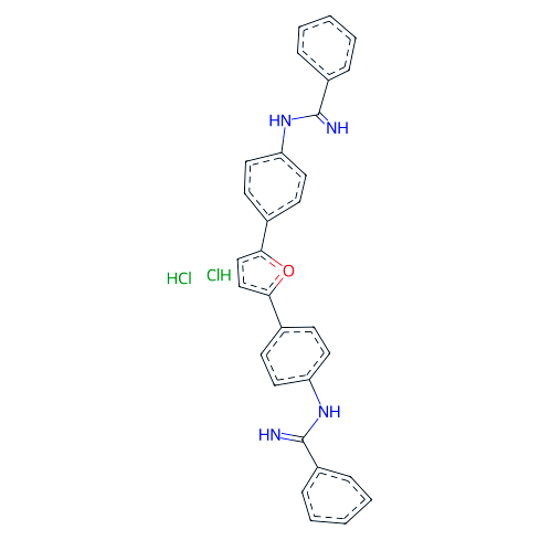 Cl.Cl.N=C(Nc1ccc(-c2ccc(-c3ccc(NC(=N)c4ccccc4)cc3)o2)cc1)c1ccccc1